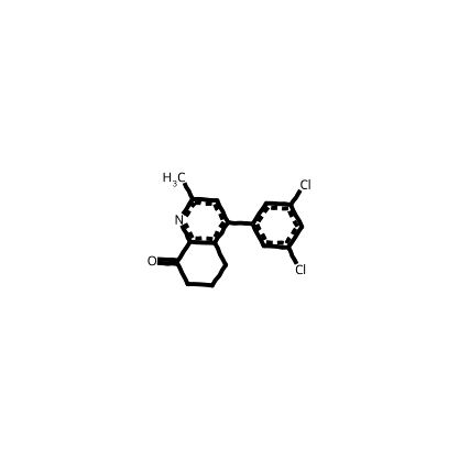 Cc1cc(-c2cc(Cl)cc(Cl)c2)c2c(n1)C(=O)CCC2